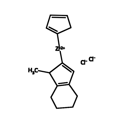 CC1[C]([Zr+2][C]2=CC=CC2)=CC2=C1CCCC2.[Cl-].[Cl-]